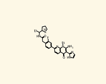 CCC(NC(=O)Cc1ccc(-c2ccc3c(=O)c(-c4ncc[nH]4)c(N)n(CC)c3n2)cc1F)C1CCCN1